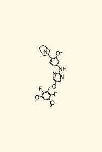 COc1cc(Nc2ncc(OCc3c(F)c(OC)cc(OC)c3F)cn2)ccc1C1CC2CCC(C1)N2C